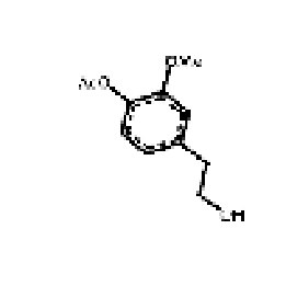 COc1cc(CCO)ccc1OC(C)=O